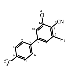 N#Cc1c(F)cc(-c2ccc(C(F)(F)F)cc2)cc1Cl